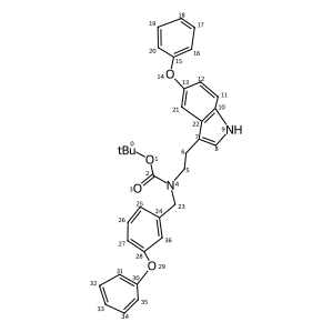 CC(C)(C)OC(=O)N(CCc1c[nH]c2ccc(Oc3ccccc3)cc12)Cc1cccc(Oc2ccccc2)c1